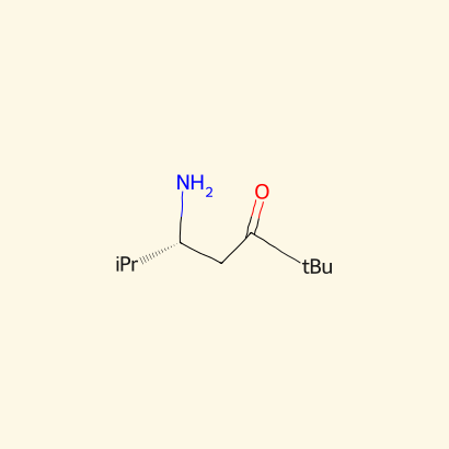 CC(C)[C@H](N)CC(=O)C(C)(C)C